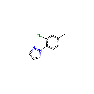 Cc1ccc(-n2c[c]cn2)c(Cl)c1